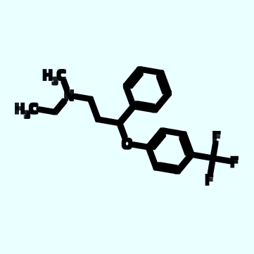 CCN(C)CCC(Oc1ccc(C(F)(F)F)cc1)c1ccccc1